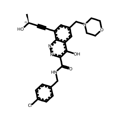 C[C@H](O)C#Cc1cc(CN2CCOCC2)cc2c(O)c(C(=O)NCc3ccc(Cl)cc3)nnc12